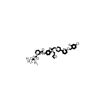 CC(C)(C)OC(=O)N1CCCC(C(=O)Nc2ccc3c(c2)nc(CN2CCC(c4cccc(OCc5ccc(Cl)cc5F)n4)CC2)n3CC2CCO2)C1